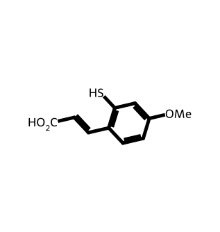 COc1ccc(C=CC(=O)O)c(S)c1